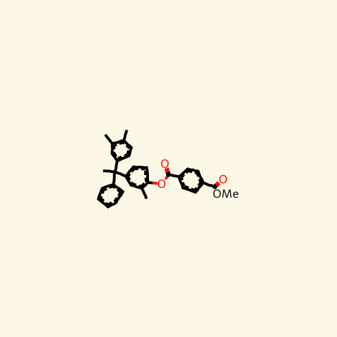 COC(=O)c1ccc(C(=O)Oc2ccc(C(C)(c3ccccc3)c3ccc(C)c(C)c3)cc2C)cc1